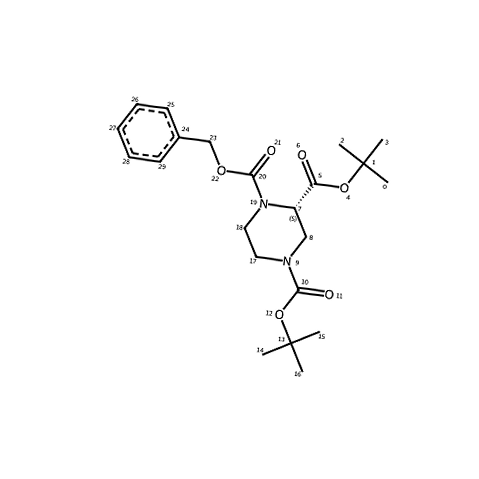 CC(C)(C)OC(=O)[C@@H]1CN(C(=O)OC(C)(C)C)CCN1C(=O)OCc1ccccc1